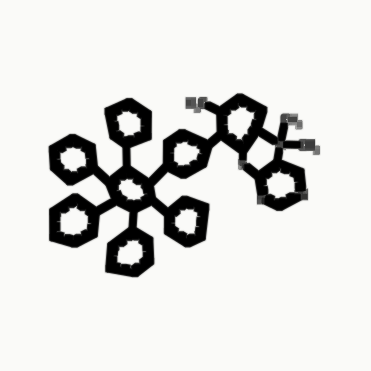 Cc1ccc2c(c1-c1ccc(-c3c(-c4ccccc4)c(-c4ccccc4)c(-c4ccccc4)c(-c4ccccc4)c3-c3ccccc3)cc1)Sc1ncncc1[Si]2(C)C